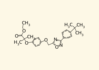 CCOC(=O)C(C)(C)Oc1ccc(OCc2nc(-c3ccc(C(C)(C)C)cc3)no2)cc1